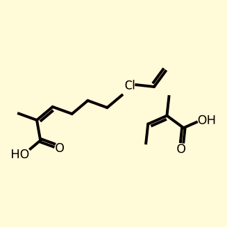 C=CCl.CC=C(C)C(=O)O.CCCCC=C(C)C(=O)O